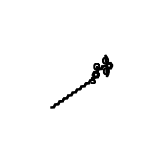 CCCCCCCCCCCCCCCCCCCSc1ccc(C(=O)/C=C/c2c(OCC)cccc2OCC)cc1